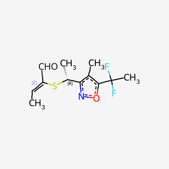 C/C=C(/C=O)S[C@H](C)c1noc(C(C)(F)F)c1C